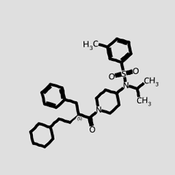 Cc1cccc(S(=O)(=O)N(C(C)C)C2CCN(C(=O)[C@@H](CCC3CCCCC3)Cc3ccccc3)CC2)c1